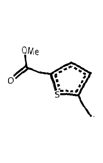 [CH2]c1ccc(C(=O)OC)s1